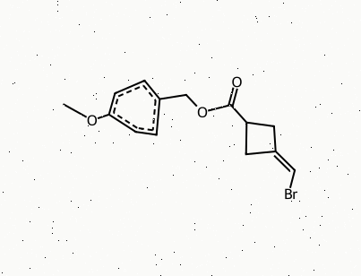 COc1ccc(COC(=O)C2CC(=CBr)C2)cc1